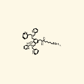 NCCCCCC(=O)NCc1cc(CN(Cc2ccccn2)Cc2ccccn2)c(O)c(CN(Cc2ccccn2)Cc2ccccn2)c1